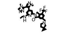 CCNc1cc(-c2c(-c3nncn3C)cnn2C)cc(N2Cc3c(cc(CN4CCC5(CC5)C4)cc3C(F)(F)F)C2=O)n1